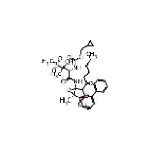 CCCCCC(=O)[C](c1ccccc1-c1ccccc1)[C@]1(NC(=O)[C@@H](NC(=O)OCC2CC2)C(C)(C)S(C)(=O)=O)O[C@]1(C)C(N)=O